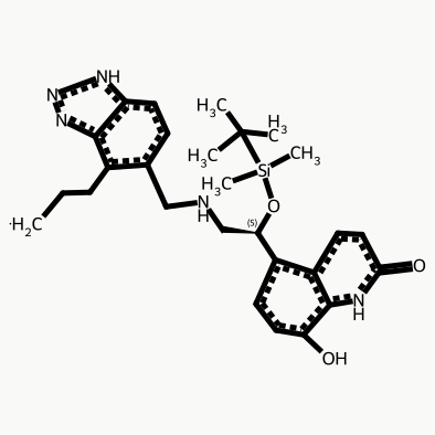 [CH2]CCc1c(CNC[C@@H](O[Si](C)(C)C(C)(C)C)c2ccc(O)c3[nH]c(=O)ccc23)ccc2[nH]nnc12